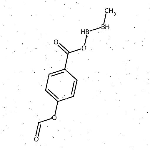 CBBOC(=O)c1ccc(OC=O)cc1